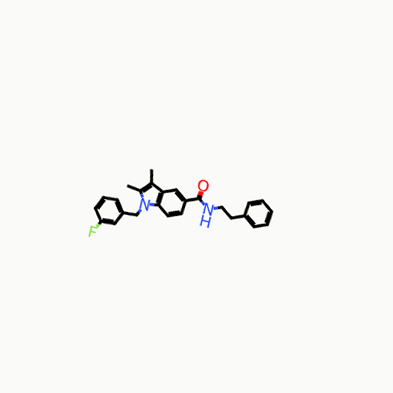 Cc1c(C)n(Cc2cccc(F)c2)c2ccc(C(=O)NCCc3ccccc3)cc12